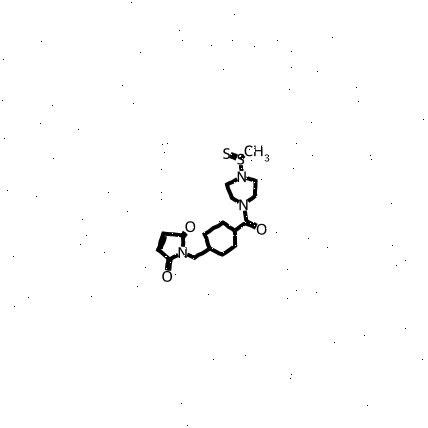 CS(=S)N1CCN(C(=O)C2CCC(CN3C(=O)C=CC3=O)CC2)CC1